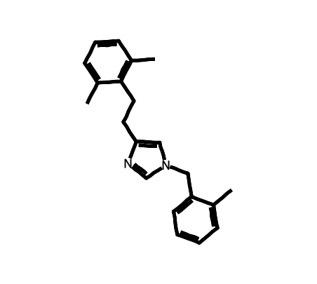 Cc1ccccc1Cn1cnc(CCc2c(C)cccc2C)c1